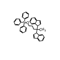 CC(CCCO[Si](c1ccccc1)(c1ccccc1)c1ccccc1)(C1C=Cc2ccccc21)C1C=Cc2ccccc21